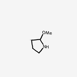 COC1[CH]CCN1